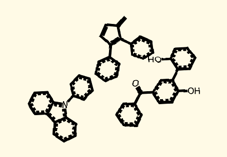 C=C1C=CC(c2ccccc2)=C1c1ccccc1.O=C(c1ccccc1)c1ccc(O)c(-c2ccccc2O)c1.c1ccc(-n2c3ccccc3c3ccccc32)cc1